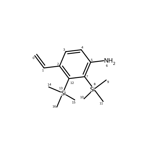 C=Cc1ccc(N)c([Si](C)(C)C)c1[Si](C)(C)C